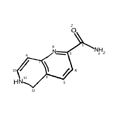 NC(=O)c1ccc2c(n1)C=CNC2